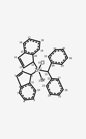 [Cl][Zr]([Br])([CH]1C=Cc2ccccc21)([CH]1C=Cc2ccccc21)[CH](c1ccccc1)c1ccccc1